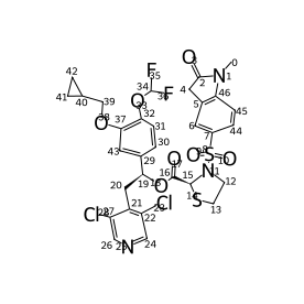 CN1C(=O)Cc2cc(S(=O)(=O)N3CCS[C@H]3C(=O)O[C@@H](Cc3c(Cl)cncc3Cl)c3ccc(OC(F)F)c(OCC4CC4)c3)ccc21